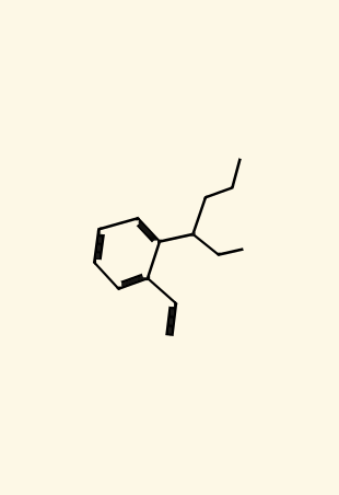 C=Cc1ccccc1C(CC)CCC